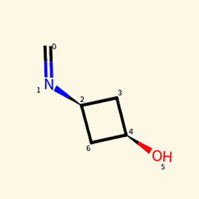 C=N[C@H]1C[C@@H](O)C1